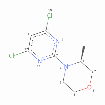 C[C@H]1COCCN1c1nc(Cl)cc(Cl)n1